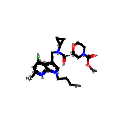 COCCCn1cc(CN(C(=O)[C@H]2CN(C(=O)OC(C)(C)C)CCO2)C2CC2)c2c(Cl)cc(C)nc21